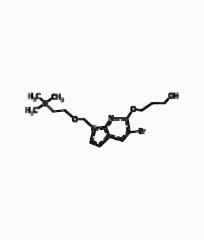 C[Si](C)(C)CCOCn1ccc2cc(Br)c(OCCCO)nc21